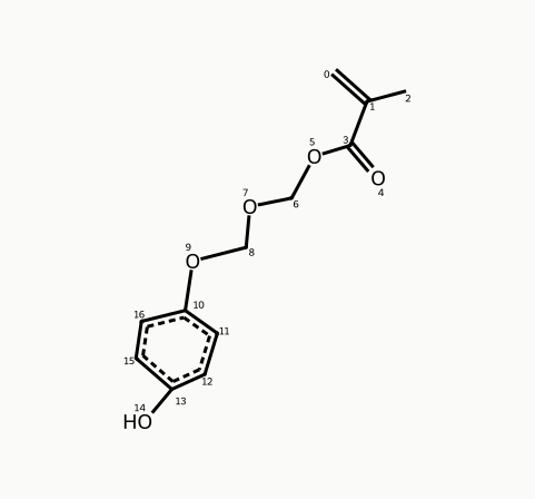 C=C(C)C(=O)OCOCOc1ccc(O)cc1